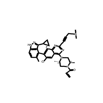 C=CC(=O)N1C[C@H](C)N(c2nc(C#CCN(C)C)nc3c(F)c(-c4c(C)ccc5[nH]nc(C6CC6)c45)c(Cl)cc23)C[C@H]1C